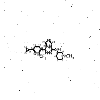 CN1CCCC(Nc2nnc(-c3ccc(C4CC4)cc3C(F)(F)F)c3cncn23)C1